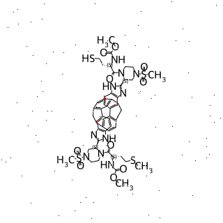 COC(=O)N[C@@H](CCS)C(=O)N1CCN(S(C)(=O)=O)C[C@H]1c1nc2cc(-c3cc4ccc3CCc3ccc(c(-c5ccc6[nH]c([C@@H]7CN(S(C)(=O)=O)CCN7C(=O)[C@H](CCSC)NC(=O)OC)nc6c5)c3)CC4)ccc2[nH]1